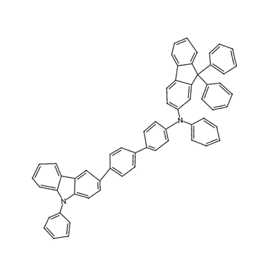 c1ccc(N(c2ccc(-c3ccc(-c4ccc5c(c4)c4ccccc4n5-c4ccccc4)cc3)cc2)c2ccc3c(c2)C(c2ccccc2)(c2ccccc2)c2ccccc2-3)cc1